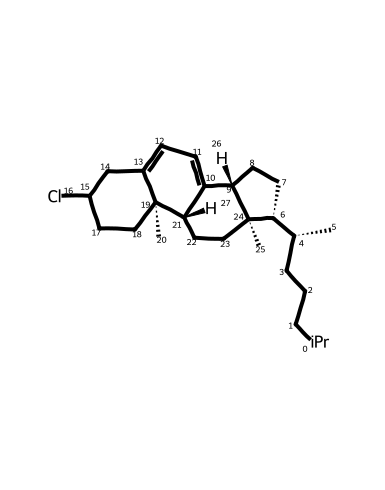 CC(C)CCC[C@@H](C)[C@H]1CC[C@H]2C3=CC=C4CC(Cl)CC[C@]4(C)[C@H]3CC[C@]12C